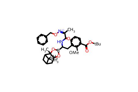 COc1c(CC(NC(=O)/C(C)=N\OCc2ccccc2)B2OC3CC4CC(C4(C)C)C3(C)O2)cccc1C(=O)OC(C)(C)C